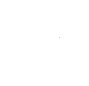 CCCC(CC1=CCCCC1)OC(CCC)CC1=CCCCC1